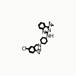 COc1ccc(Cl)cc1CN[C@H]1CC[C@@H](Nc2nc(N(C)C)c3ccccc3n2)CC1